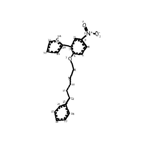 O=[N+]([O-])c1ccc(OCCCCCc2ccccc2)c(-c2cccs2)c1